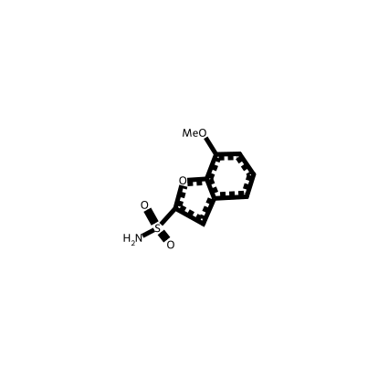 COc1cccc2cc(S(N)(=O)=O)oc12